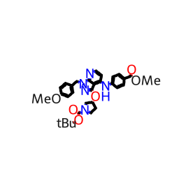 COC(=O)c1ccc(Nc2ccnc3c2c(OC2CCN(C(=O)OC(C)(C)C)C2)nn3Cc2ccc(OC)cc2)cc1